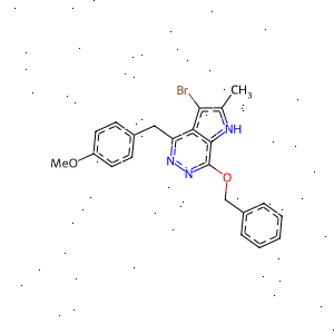 COc1ccc(Cc2nnc(OCc3ccccc3)c3[nH]c(C)c(Br)c23)cc1